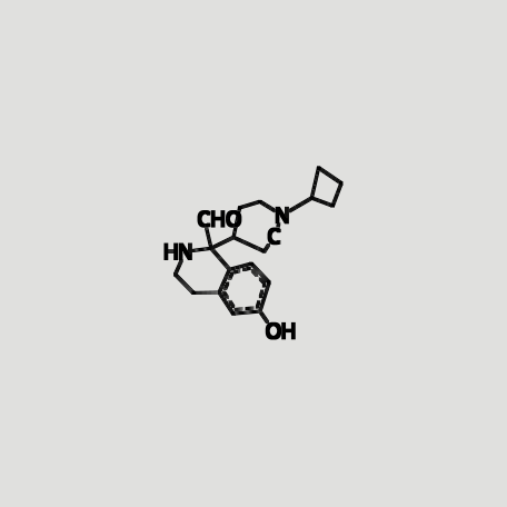 O=CC1(C2CCN(C3CCC3)CC2)NCCc2cc(O)ccc21